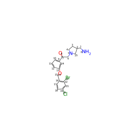 NCC1CCN(CC(=O)c2cccc(OCc3ccc(Cl)cc3Br)c2)C1